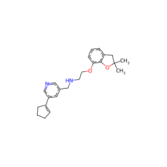 CC1(C)Cc2cccc(OCCNCc3cncc(C4=CCCC4)c3)c2O1